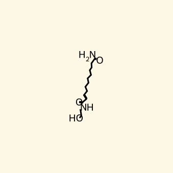 NC(=O)CCCCCCCCC=CC(=O)NCCO